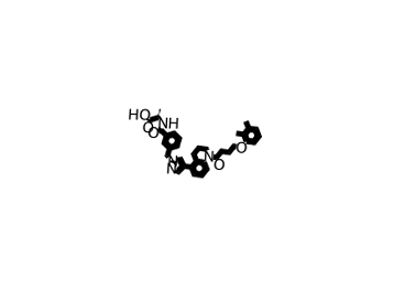 Cc1cccc(OCCCC(=O)N2CCCc3c(-c4cnn(Cc5cccc(C(=O)N[C@@H](C)C(=O)O)c5)c4)cccc32)c1C